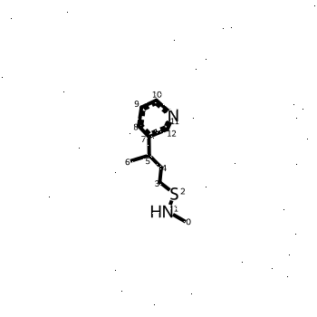 CNSCCC(C)c1cccnc1